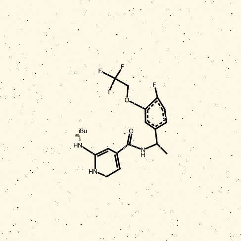 CC[C@@H](C)NC1=CC(C(=O)NC(C)c2ccc(F)c(OCC(F)(F)I)c2)=CCN1